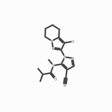 CC(C)C(=O)N(C)c1c(C#N)cnn1-c1nn2c(c1Cl)CCCC2